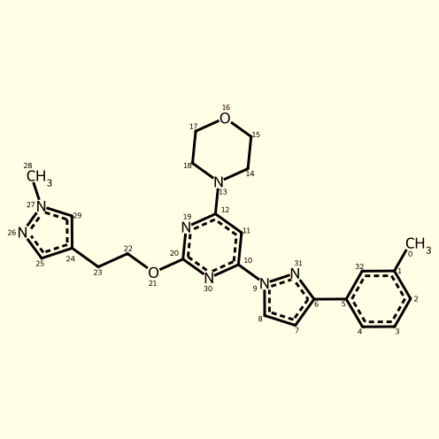 Cc1cccc(-c2ccn(-c3cc(N4CCOCC4)nc(OCCc4cnn(C)c4)n3)n2)c1